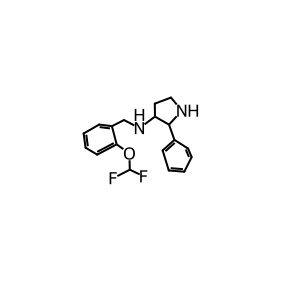 FC(F)Oc1ccccc1CNC1CCNC1c1ccccc1